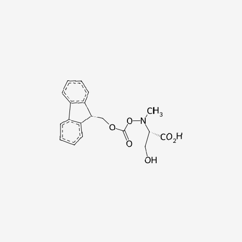 CN(OC(=O)OCC1c2ccccc2-c2ccccc21)[C@@H](CO)C(=O)O